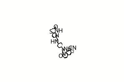 N#Cc1ccc2ccc(=O)n(C[C@H](N)[C@H]3CC[C@H](NCc4ccc5c(n4)NC(=O)CS5)CC3)c2c1